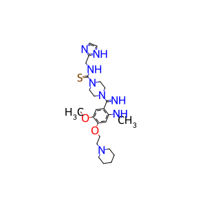 CNc1cc(OCCN2CCCCC2)c(OC)cc1C(=N)N1CCN(C(=S)NCc2ncc[nH]2)CC1